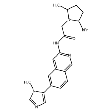 CCCC1CCC(C)N1CC(=O)Nc1cc2cc(-c3cncn3C)ccc2cn1